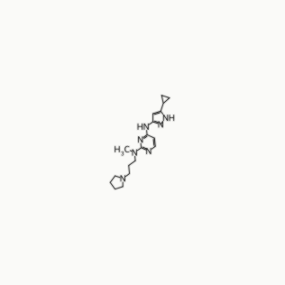 CN(CCCN1CCCC1)c1nccc(Nc2cc(C3CC3)[nH]n2)n1